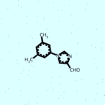 Cc1cc(C)cc(-n2cnc(C=O)c2)c1